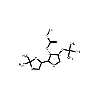 CSC(=S)O[C@H]1C(C2COC(C)(C)O2)OC[C@@H]1OC(C)(C)O